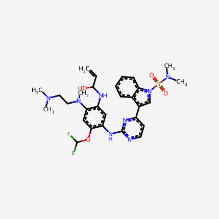 C=CC(O)Nc1cc(Nc2nccc(-c3cn(S(=O)(=O)N(C)C)c4ccccc34)n2)c(OC(F)F)cc1N(C)CCN(C)C